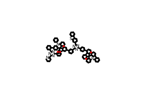 c1ccc(-c2nc(-c3ccccn3)nc(-c3ccccc3-c3ccc4c(c3)N(c3ccccc3)c3ccccc3C43c4ccccc4-c4cc(-c5cccc(-c6nc(-c7ccc(-c8cccc9c8-c8ccccc8C98c9ccccc9-n9c%10ccccc%10c%10cccc8c%109)cc7)nc(-c7ccc8c(c7)sc7ccccc78)n6)c5)ccc43)n2)cc1